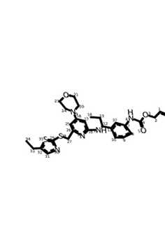 C=CCOC(=O)Nc1cccc(C(CC)Nc2cc(N3CCOCC3)cc(CSc3ncc(CC)s3)n2)c1